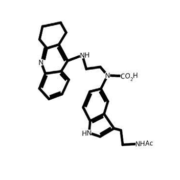 CC(=O)NCCc1c[nH]c2ccc(N(CCNc3c4c(nc5ccccc35)CCCC4)C(=O)O)cc12